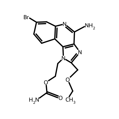 CCOCc1nc2c(N)nc3cc(Br)ccc3c2n1CCOC(N)=O